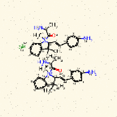 C[C@H](N)C(=O)[N+]1(C)c2ccccc2C(C)(C)C1/C=C/c1ccc(N)cc1.C[C@H](N)C(=O)[N+]1(C)c2ccccc2C(C)(C)C1/C=C/c1ccc(N)cc1.[Br-].[Br-]